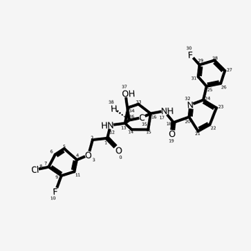 O=C(COc1ccc(Cl)c(F)c1)NC12CCC(NC(=O)c3cccc(-c4cccc(F)c4)n3)(CC1)C[C@@H]2O